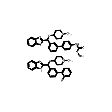 CN1CCC(OC(c2cccc(-c3ccc(NC(=O)OC(C)(C)C)cc3)c2)c2nc3ccccc3s2)CC1.CN1CCC(OC(c2cccc(-c3ccccc3F)c2)c2nc3ccccc3[nH]2)CC1